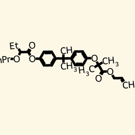 C=CCOC(=O)C(C)(C)Oc1ccc(C(C)(C)c2ccc(OC(=O)C(CC)OCCC)cc2)cc1